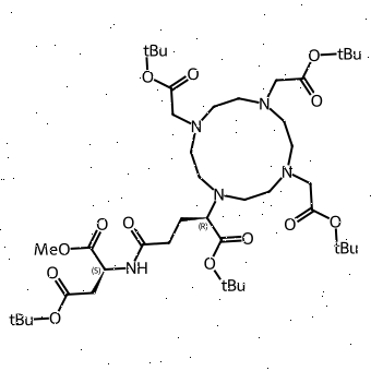 COC(=O)[C@H](CC(=O)OC(C)(C)C)NC(=O)CC[C@H](C(=O)OC(C)(C)C)N1CCN(CC(=O)OC(C)(C)C)CCN(CC(=O)OC(C)(C)C)CCN(CC(=O)OC(C)(C)C)CC1